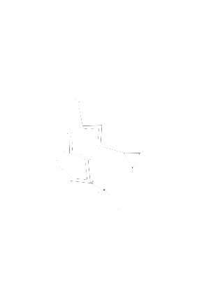 Nc1cc(C2CC2)c2c(C(F)(F)F)c[nH]c2n1